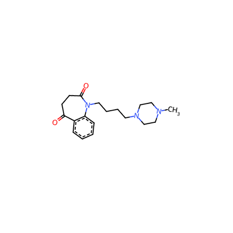 CN1CCN(CCCCN2C(=O)CCC(=O)c3ccccc32)CC1